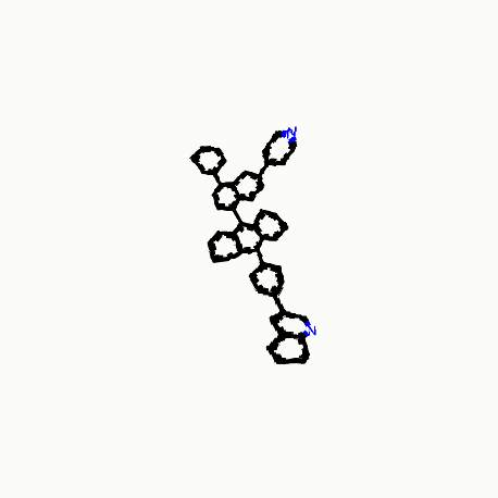 c1ccc(-c2ccc(-c3c4ccccc4c(-c4ccc(-c5cnc6ccccc6c5)cc4)c4ccccc34)c3ccc(-c4ccncc4)cc23)cc1